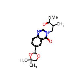 CNC(=O)C(C)Cn1cnc2ccc(B3OCC(C)(C)O3)cc2c1=O